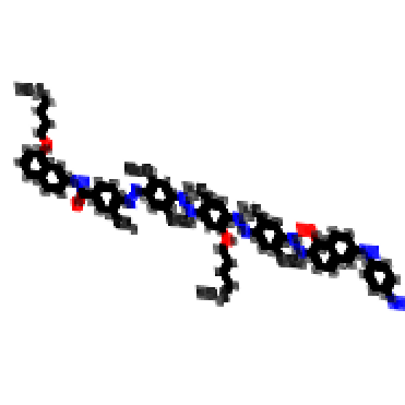 COc1cc(N=Nc2cc(OCCCCS(=O)(=O)O)c(N=Nc3cc(OC)c(N=Nc4ccc5cc(Nc6ccc(N)cc6)ccc5c4O)cc3C)cc2C)c(OC)cc1N=Nc1ccc(C(=O)Nc2ccc3cccc(OCCCCS(=O)(=O)O)c3c2)cc1C